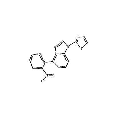 O=[N+]([O-])c1ccccc1-c1cccc2c1ncn2-c1nccs1